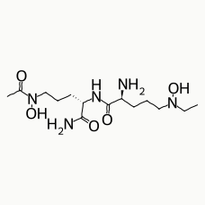 CCN(O)CCC[C@H](N)C(=O)N[C@@H](CCCN(O)C(C)=O)C(N)=O